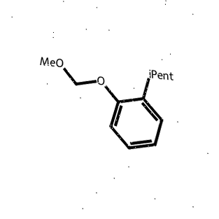 CCCC(C)c1ccccc1OCOC